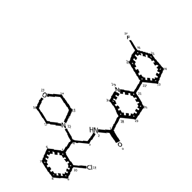 O=C(NCC(c1ccccc1Cl)N1CCOCC1)c1ccc(-c2cccc(F)c2)nc1